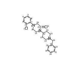 Cl.Clc1ccccc1N1CCN(C2CCN(Cc3ccccc3)CC2)CC1